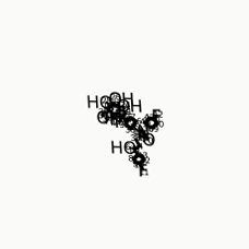 O=C1[C@H](CC[C@H](O)c2ccc(F)cc2)[C@@H](c2ccc(C(F)(F)[C@H]3[C@H](O)[C@@H](O)[C@H](O)[C@@H](CO)C3(F)F)cc2)N1c1ccc(F)cc1